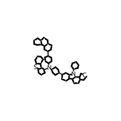 c1ccc(-n2c3cc(-c4ccc(N(c5ccc(-c6ccc7ccc8ccccc8c7c6)cc5)c5cccc6sc7ccccc7c56)cc4)ccc3c3ccc4ccccc4c32)cc1